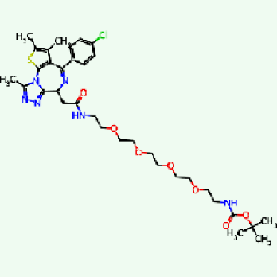 Cc1sc2c(c1C)C(c1ccc(Cl)cc1)=N[C@@H](CC(=O)NCCOCCOCCOCCOCCNC(=O)OC(C)(C)C)c1nnc(C)n1-2